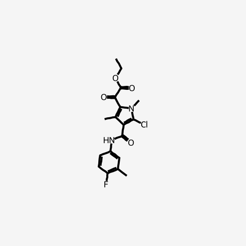 CCOC(=O)C(=O)c1c(C)c(C(=O)Nc2ccc(F)c(C)c2)c(Cl)n1C